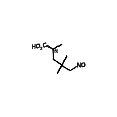 C[C@@H](CC(C)(C)CN=O)C(=O)O